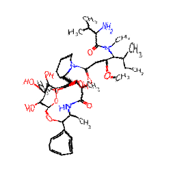 CCC(C)C(C(CC(=O)N1CCCC1C(OC)C(C)C(=O)NC(C)C(O[C@@H]1O[C@H](CO)C(O)C(O)C1O)c1ccccc1)OC)N(C)C(=O)C(N)C(C)C